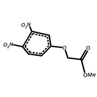 COC(=O)COc1ccc([N+](=O)[O-])c([N+](=O)[O-])c1